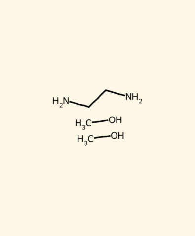 CO.CO.NCCN